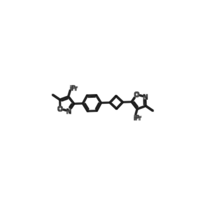 Cc1noc(C2CC(c3ccc(-c4noc(C)c4C(C)C)cc3)C2)c1C(C)C